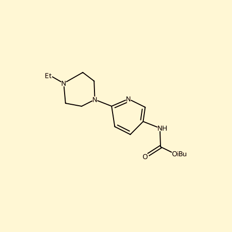 CCN1CCN(c2ccc(NC(=O)OCC(C)C)cn2)CC1